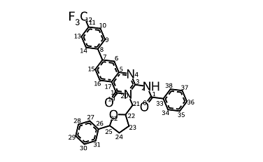 O=C(Nc1nc2cc(-c3ccc(C(F)(F)F)cc3)ccc2c(=O)n1CC1CCC(c2ccccc2)O1)c1ccccc1